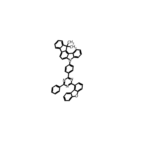 CC1(C)c2ccccc2-c2ccc3c(c21)c1ccccc1n3-c1ccc(-c2nc(-c3ccccc3)nc(-c3cccc4oc5ccccc5c34)n2)cc1